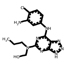 CCCN(CO)c1nc(Nc2ccc(Cl)c(N)c2)c2nn[nH]c2n1